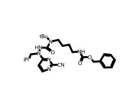 CC(C)CN(NC(=O)N(CCCCNC(=O)OCc1ccccc1)C(C)(C)C)c1ccnc(C#N)n1